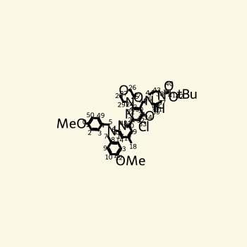 COc1ccc(CN(Cc2ccc(OC)cc2)c2cc(C)cc(-c3nc(N4CCOCC4)c4c(c3Cl)OC[C@H]3CN(C(=O)OC(C)(C)C)CCN3C4=O)n2)cc1